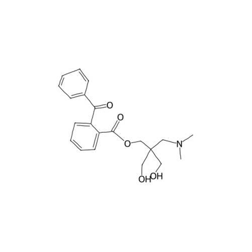 CN(C)CC(CO)(CO)COC(=O)c1ccccc1C(=O)c1ccccc1